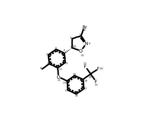 Cc1ccc([C@@H]2CC(Br)=NO2)cc1Oc1cccc(C(F)(F)F)c1